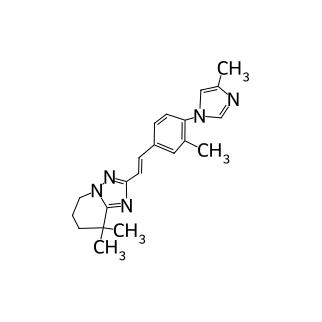 Cc1cn(-c2ccc(/C=C/c3nc4n(n3)CCCC4(C)C)cc2C)cn1